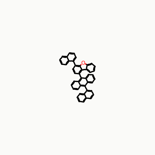 c1ccc2c(-c3c4ccccc4c(-c4ccc(-c5cccc6ccccc56)c5oc6ccccc6c45)c4ccccc34)cccc2c1